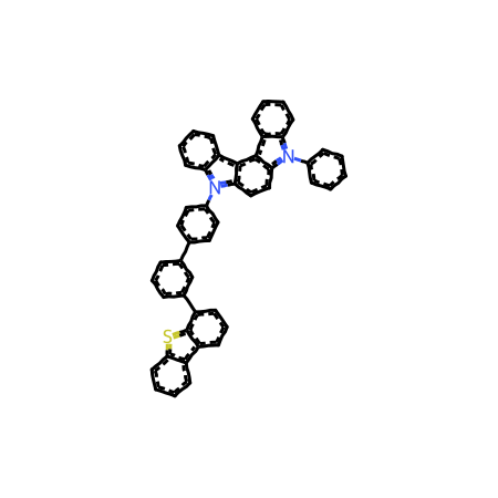 c1ccc(-n2c3ccccc3c3c4c5ccccc5n(-c5ccc(-c6cccc(-c7cccc8c7sc7ccccc78)c6)cc5)c4ccc32)cc1